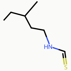 CCC(C)CCNC=S